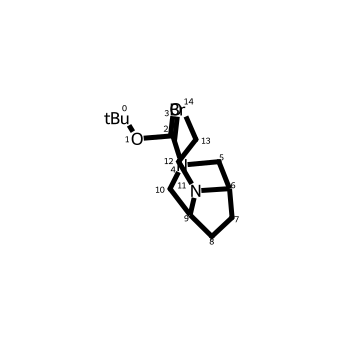 CC(C)(C)OC(=O)N1CC2CCC(C1)N2CCBr